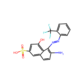 Nc1ccc2cc(S(=O)(=O)O)cc(O)c2c1N=Nc1ccccc1C(F)(F)F